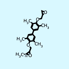 Cc1cc(-c2cc(C)c(OCC3O[C@H]3C)c(C)c2)cc(C)c1OCC1CO1